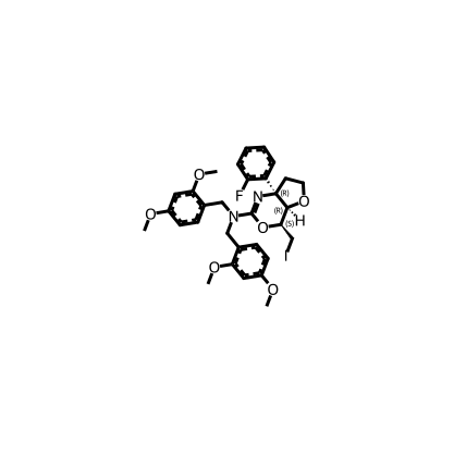 COc1ccc(CN(Cc2ccc(OC)cc2OC)C2=N[C@@]3(c4ccccc4F)CCO[C@H]3[C@@H](CI)O2)c(OC)c1